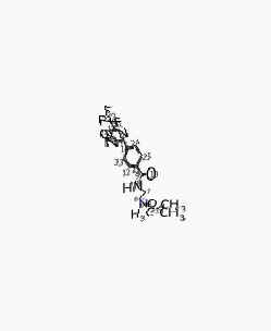 CC(C)(C)O/N=C\CNC(=O)c1ccc(-c2noc(C(F)(F)F)n2)cc1